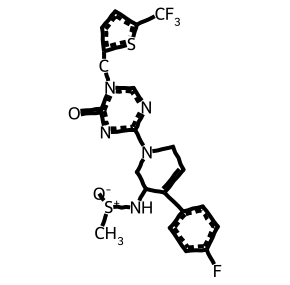 C[S+]([O-])NC1CN(c2ncn(Cc3ccc(C(F)(F)F)s3)c(=O)n2)CC=C1c1ccc(F)cc1